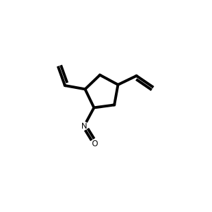 C=CC1CC(C=C)C(N=O)C1